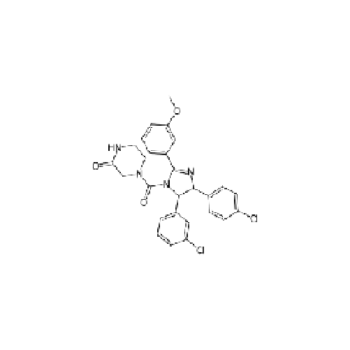 COc1cccc(C2=NC(c3ccc(Cl)cc3)C(c3cccc(Cl)c3)N2C(=O)N2CCNC(=O)C2)c1